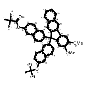 CCC(C)(CC)Oc1ccc2cc(C3(c4ccc5cc(OC(=O)C(C)(CC)CC)ccc5c4)c4cc(OC)c(OC)cc4-c4cc5ccccc5cc43)ccc2c1